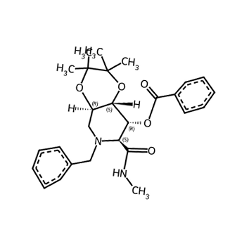 CNC(=O)[C@@H]1[C@@H](OC(=O)c2ccccc2)[C@H]2OC(C)(C)C(C)(C)O[C@@H]2CN1Cc1ccccc1